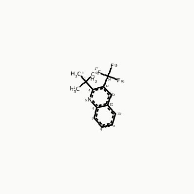 CC(C)(C)c1nc2ccccc2cc1C(F)(F)F